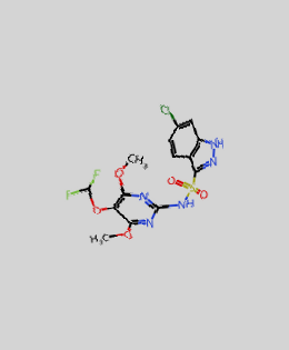 COc1nc(NS(=O)(=O)c2n[nH]c3cc(Cl)ccc23)nc(OC)c1OC(F)F